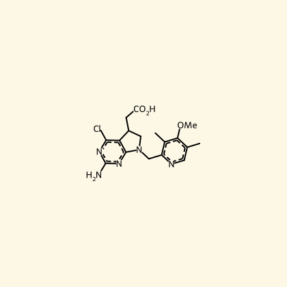 COc1c(C)cnc(CN2CC(CC(=O)O)c3c(Cl)nc(N)nc32)c1C